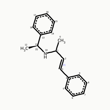 CC(/C=C/c1ccccc1)N[C@@H](C)c1ccccc1